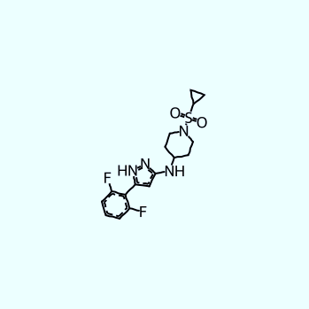 O=S(=O)(C1CC1)N1CCC(Nc2cc(-c3c(F)cccc3F)[nH]n2)CC1